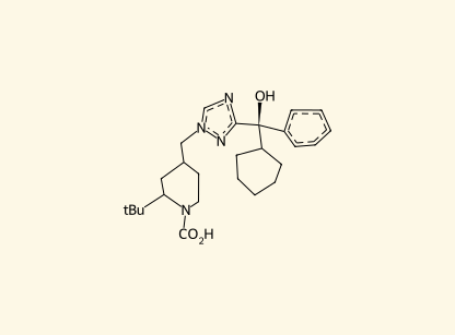 CC(C)(C)C1CC(Cn2cnc([C@](O)(c3ccccc3)C3CCCCC3)n2)CCN1C(=O)O